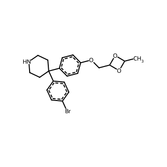 CC1OC(COc2ccc(C3(c4ccc(Br)cc4)CCNCC3)cc2)O1